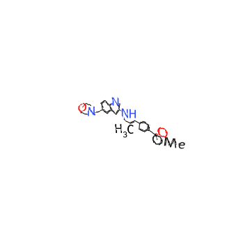 COC(=O)c1ccc(C=C(C)CNc2cnc3ccc(CN4CCOCC4)cc3c2)cc1